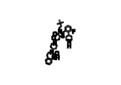 CC(C)(C)CCN1C(=O)[C@H](CC(=O)N2CCC(N3CCc4ccccc4NC3=O)CC2)SC1c1cccc(F)c1C1CCNCC1